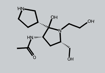 CC(=O)N[C@H]1C[C@@H](CO)N(CCO)C1(O)[C@@H]1CCNC1